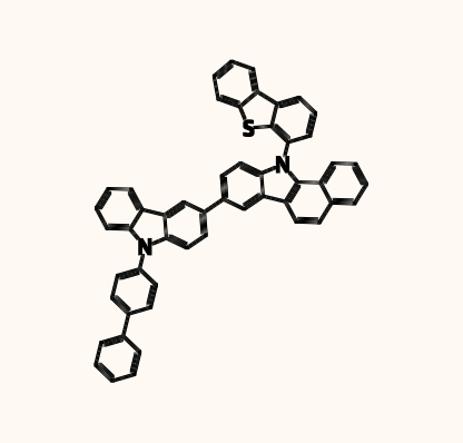 c1ccc(-c2ccc(-n3c4ccccc4c4cc(-c5ccc6c(c5)c5ccc7ccccc7c5n6-c5cccc6c5sc5ccccc56)ccc43)cc2)cc1